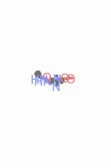 CCn1c(-c2ccc(NC(=O)NCCc3ccccc3)cc2)c(C#N)c2ccc(OCCOC)cc21